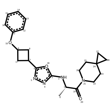 C[C@H](Nc1nnc(C2CC(Oc3ccccc3)C2)o1)C(=O)N1CCC2(CC1)CC2